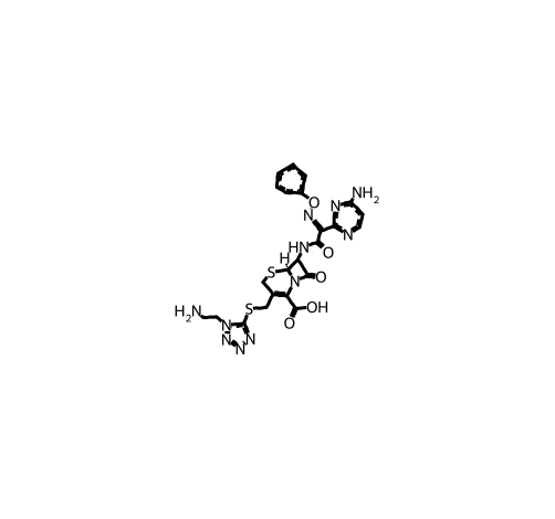 NCCn1nnnc1SCC1=C(C(=O)O)N2C(=O)C(NC(=O)C(=NOc3ccccc3)c3nccc(N)n3)[C@@H]2SC1